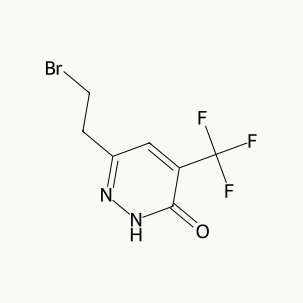 O=c1[nH]nc(CCBr)cc1C(F)(F)F